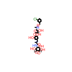 C/C(=C\c1ccc(O[C@@H]2O[C@H](/C(C)=N/OCc3cccc(Cl)c3)[C@@H](O)[C@]2(C)O)c(O)c1)C(=O)N[C@@H]1[C@H](O)[C@@H](O)[C@H]2OCO[C@H]2[C@@H]1O